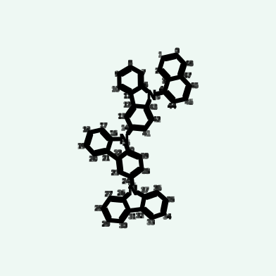 c1ccc2c(-n3c4ccccc4c4cc(-n5c6ccccc6c6cc(-n7c8ccccc8c8ccccc87)ccc65)ccc43)cccc2c1